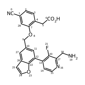 N#Cc1ccc(CC(=O)O)c(OCc2cc(-c3ccnc(CN)c3F)c3occc3c2)c1